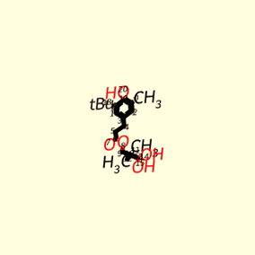 Cc1cc(CCC(=O)OCC(C)(C)C(O)O)cc(C(C)(C)C)c1O